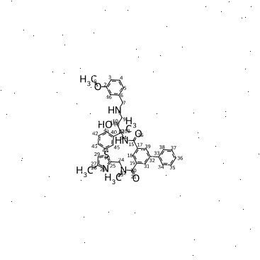 COc1cccc(CNC[C@@H](O)[C@@](C)(NC(=O)c2cc(C(=O)N(C)Cc3nc(C)cs3)cc(-c3ccccc3)c2)c2ccccc2)c1